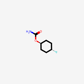 NC(=O)O[C@H]1CC[C@H](F)CC1